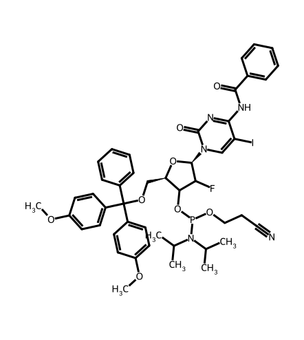 COc1ccc(C(OC[C@H]2O[C@@H](n3cc(I)c(NC(=O)c4ccccc4)nc3=O)C(F)C2OP(OCCC#N)N(C(C)C)C(C)C)(c2ccccc2)c2ccc(OC)cc2)cc1